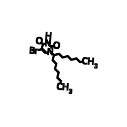 CCCCCCCC(CCCCCCC)n1cc(Br)c(=O)[nH]c1=O